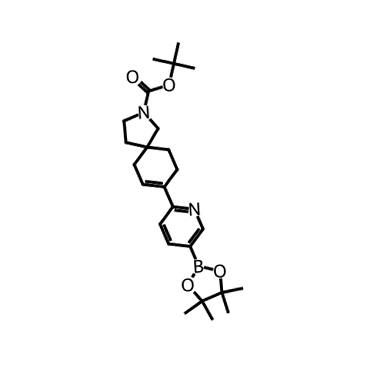 CC(C)(C)OC(=O)N1CCC2(CC=C(c3ccc(B4OC(C)(C)C(C)(C)O4)cn3)CC2)C1